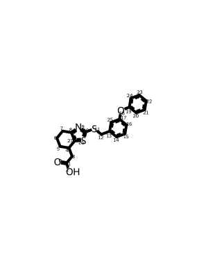 O=C(O)CC1CCCc2nc(SCc3cccc(Oc4ccccc4)c3)sc21